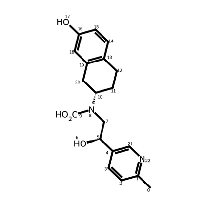 Cc1ccc([C@@H](O)CN(C(=O)O)[C@H]2CCc3ccc(O)cc3C2)cn1